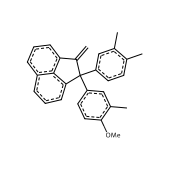 C=C1c2cccc3cccc(c23)C1(c1ccc(C)c(C)c1)c1ccc(OC)c(C)c1